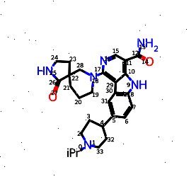 CC(C)N1CCC(c2ccc3[nH]c4c(C(N)=O)cnc(N5CCCC6(CCNC6=O)C5)c4c3c2)CC1